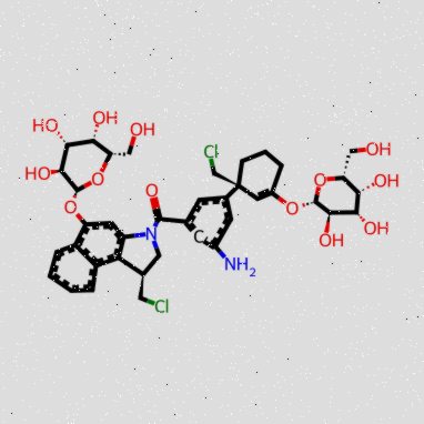 Nc1cc(C(=O)N2C[C@@H](CCl)c3c2cc(O[C@H]2O[C@@H](CO)[C@@H](O)[C@@H](O)[C@@H]2O)c2ccccc32)cc([C@@]2(CCl)C=C(O[C@@H]3O[C@H](CO)[C@H](O)[C@H](O)[C@H]3O)CCC2)c1